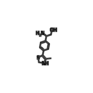 CC1=C(c2ccc(C(N)CO)cc2)SCN1